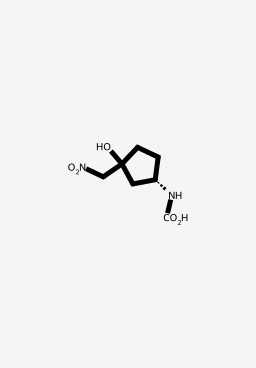 O=C(O)N[C@H]1CCC(O)(C[N+](=O)[O-])C1